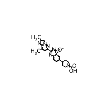 Cc1cn2nc(-c3nc4ccc(C5=CCN(C(=O)O)CC5)cc4[n+]([O-])n3)cc(C)c2n1